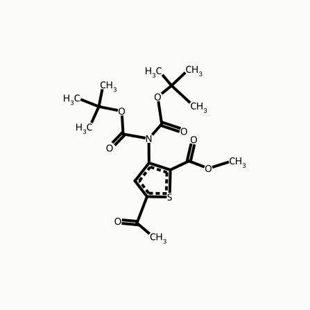 COC(=O)c1sc(C(C)=O)cc1N(C(=O)OC(C)(C)C)C(=O)OC(C)(C)C